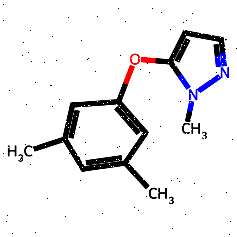 Cc1cc(C)cc(Oc2c[c]nn2C)c1